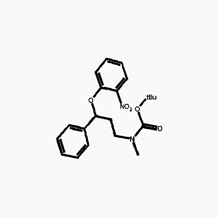 CN(CCC(Oc1ccccc1[N+](=O)[O-])c1ccccc1)C(=O)OC(C)(C)C